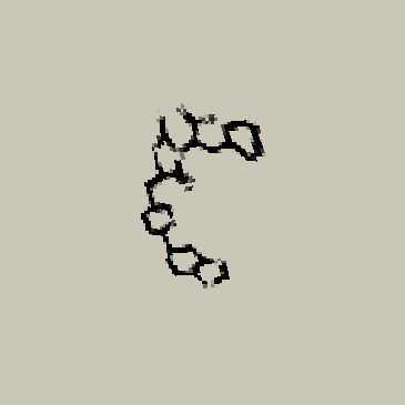 O=C(O)C(Cc1ccccc1)N1C(=O)C(=Cc2ccc(-c3ccc4c(c3)OCO4)nc2)SC1=S